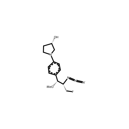 CO[C@H](c1ccc(N2CC[C@H](O)C2)cc1)[C@@H](CF)N=[N+]=[N-]